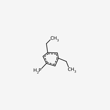 CCc1cc(P)cc(CC)c1